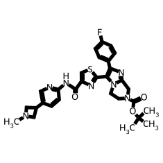 CN1CC(c2ccc(NC(=O)c3csc(-c4c(-c5ccc(F)cc5)nc5n4CCN(C(=O)OC(C)(C)C)C5)n3)nc2)C1